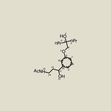 CCCC(O)(CCC)COc1cccc(C(O)CCNC(C)=O)c1